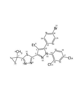 CCc1c(-c2nnc(C3(C)CC3)s2)nn(-c2ccc(Cl)cc2Cl)c1-c1ccc(Br)cc1